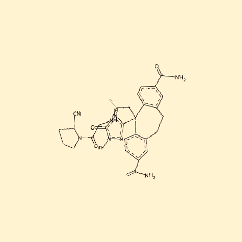 C=C(N)c1ccc2c(c1)CCc1cc(C(N)=O)ccc1C2(C[C@@H](C)NCC(=O)N1CCCC1C#N)c1nn(C(C)C)c(=O)[nH]1